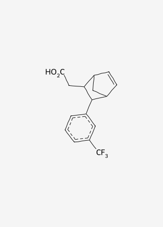 O=C(O)CC1C2C=CC(C2)C1c1cccc(C(F)(F)F)c1